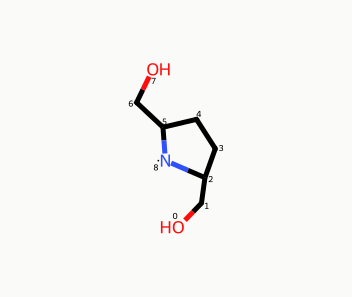 OCC1CCC(CO)[N]1